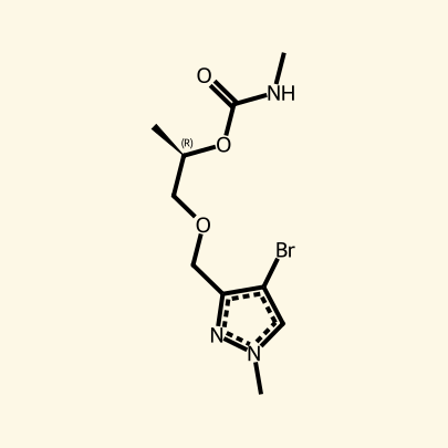 CNC(=O)O[C@H](C)COCc1nn(C)cc1Br